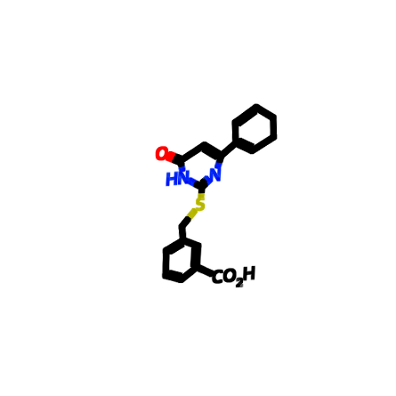 O=C(O)c1cccc(CSc2nc(C3=CCCC=C3)cc(=O)[nH]2)c1